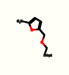 CCCCCCCCOCc1ccc([N+](=O)[O-])o1